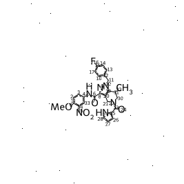 COc1ccc(NC(=O)c2nn(Cc3ccc(F)cc3)c3c2CN(C(=O)c2ccc[nH]2)CC3C)cc1[N+](=O)[O-]